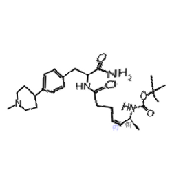 C[C@@H](/C=C\CCC(=O)NC(Cc1ccc(C2CCN(C)CC2)cc1)C(N)=O)NC(=O)OC(C)(C)C